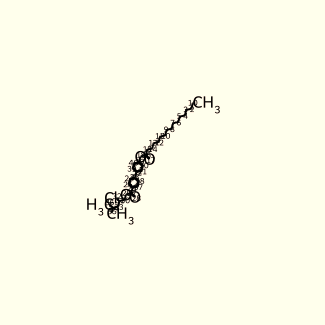 CCCCCCCCCCCCCCCCC(=O)Oc1ccc(-c2ccc(C(=O)OCC(Cl)CC(C)C)cc2)cc1